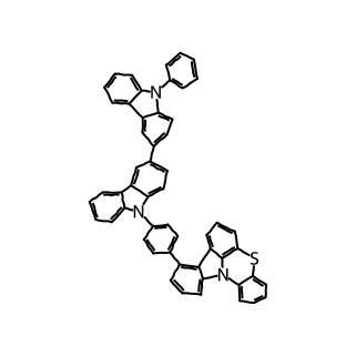 c1ccc(-n2c3ccccc3c3cc(-c4ccc5c(c4)c4ccccc4n5-c4ccc(-c5cccc6c5c5cccc7c5n6-c5ccccc5S7)cc4)ccc32)cc1